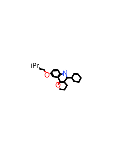 CC(C)CCOc1ccc2c(c1)C1OCCCC1C(C1CCCCC1)N2C